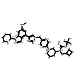 COc1cc(-c2cn(Cc3cnc(N4CCCC(N(CC5CCC5)C(=O)OC(C)(C)C)C4)cn3)nn2)c2cnn(C3CCCCO3)c2c1